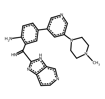 CN1CCN(c2cncc(-c3ccc(N)c(C(=N)c4nc5ccncc5[nH]4)c3)c2)CC1